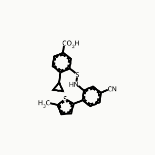 Cc1ccc(-c2ccc(C#N)cc2NSc2cc(C(=O)O)ccc2C2CC2)s1